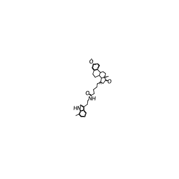 COc1ccc2c(c1)CCC1C2CC[C@]2(C)C(=O)C[C@@H](CCCCC(=O)NCCc3c[nH]c4c(C)cccc34)C12